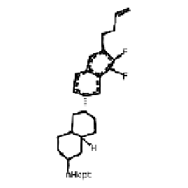 C=CCCc1cc2ccc([C@@H]3CC[C@@H]4CC(CCCCCCC)CCC4C3)cc2c(F)c1F